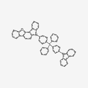 c1ccc(S(c2ccccc2)(c2ccc(-n3c4ccccc4c4ccccc43)cc2)c2ccc(-n3c4ccccc4c4c5oc6ccccc6c5ccc43)cc2)cc1